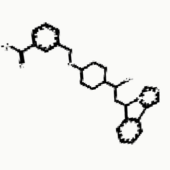 NC(=O)c1cccc(COC2CCC(C(O)CC3c4ccccc4-c4cncn43)CC2)c1